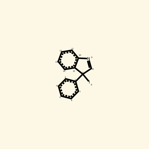 IC1(c2ccccc2)C=Nc2ccccc21